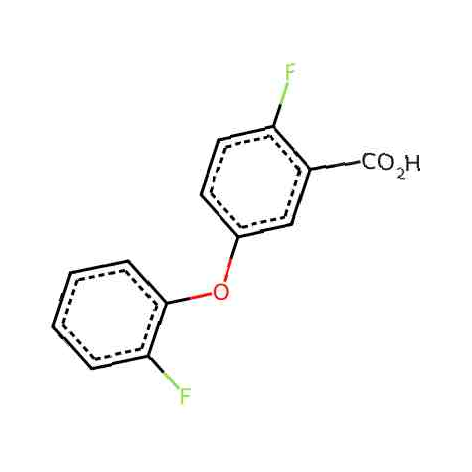 O=C(O)c1cc(Oc2ccccc2F)ccc1F